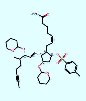 CC#CCCC(C)[C@@H](/C=C/[C@@H]1[C@@H](C/C=C\CCCC(=O)OC)[C@H](OS(=O)(=O)c2ccc(C)cc2)C[C@H]1OC1CCCCO1)OC1CCCCO1